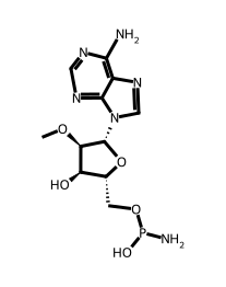 CO[C@@H]1[C@H](O)[C@@H](COP(N)O)O[C@H]1n1cnc2c(N)ncnc21